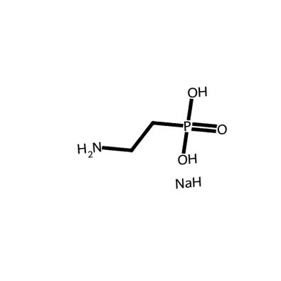 NCCP(=O)(O)O.[NaH]